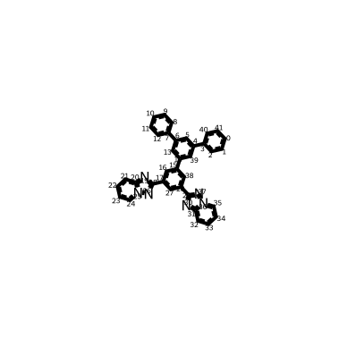 c1ccc(-c2cc(-c3ccccc3)cc(-c3cc(-c4nc5ccccn5n4)cc(-c4nc5ccccn5n4)c3)c2)cc1